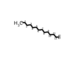 CCCCCCCCCCCC[CH]F